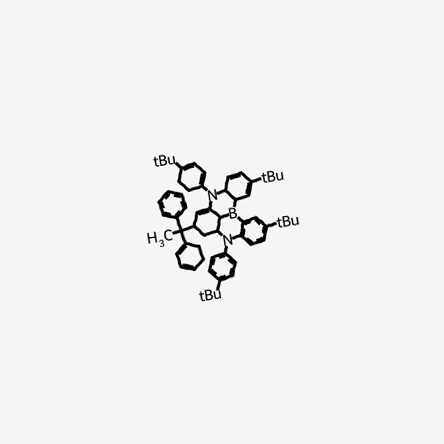 CC(C)(C)C1=CC2B3c4cc(C(C)(C)C)ccc4N(c4ccc(C(C)(C)C)cc4)C4CC(C(C)(C5=CC=CCC5)c5ccccc5)C=C(C34)N(C3=CC=C(C(C)(C)C)CC3)C2C=C1